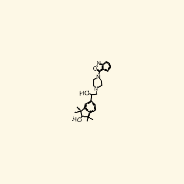 CC1(C)c2ccc(C(O)CN3CCN(c4onc5ccccc45)CC3)cc2C(C)(C)C1O